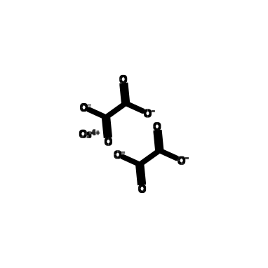 O=C([O-])C(=O)[O-].O=C([O-])C(=O)[O-].[Os+4]